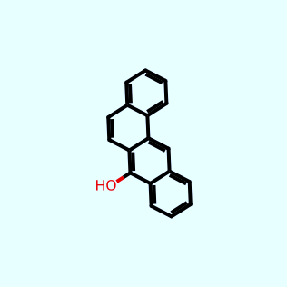 Oc1c2ccccc2cc2c1ccc1ccccc12